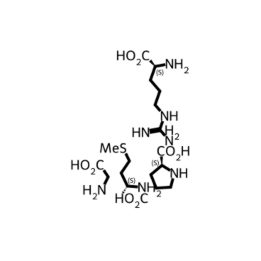 CSCC[C@H](N)C(=O)O.N=C(N)NCCC[C@H](N)C(=O)O.NCC(=O)O.O=C(O)[C@@H]1CCCN1